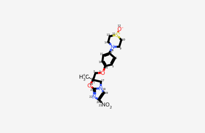 C[C@]1(COc2ccc(N3CC[S+]([O-])CC3)cc2)Cn2cc([N+](=O)[O-])nc2O1